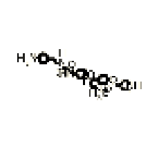 COc1c(OCC2CCNCC2)ccc2c(Oc3ccc(NC(=O)C(=O)NCCc4ccc(N)cc4)cc3F)ccnc12